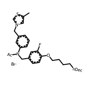 CCCCCCCCCCCCCCOc1ccc(CN(C(C)=O)c2cccc(C[n+]3csc(C)c3)c2)cc1F.[Br-]